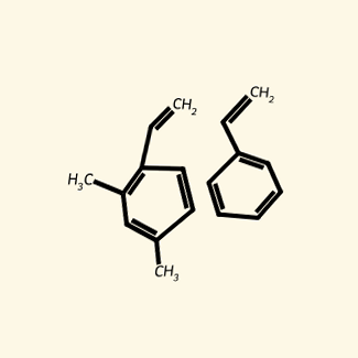 C=Cc1ccc(C)cc1C.C=Cc1ccccc1